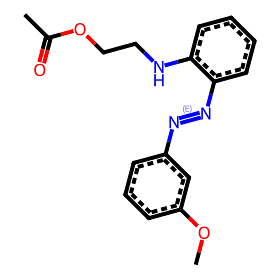 COc1cccc(/N=N/c2ccccc2NCCOC(C)=O)c1